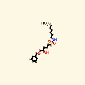 O=C(O)CCCCCCNS(=O)(=O)CCCCC(O)COCc1ccccc1